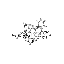 CCC(C(=O)O)c1c(CC2NCCC2NS(=O)(=O)CC)cccc1-c1ccccc1.Cl